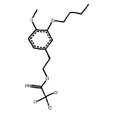 CCCCOc1cc(CCOC(=N)C(Cl)(Cl)Cl)ccc1OC